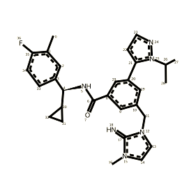 Cc1cc([C@@H](NC(=O)c2cc(Cn3ccn(C)c3=N)cc(-c3ccnn3C(C)C)c2)C2CC2)ccc1F